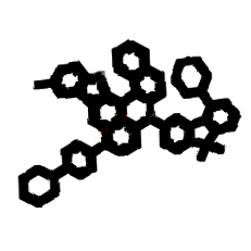 Cc1ccc2sc3c(-c4c(N(c5ccc(-c6ccc(C7CCCCC7)cc6)cc5)c5ccc6c(c5)-c5c(C7CCCCC7)cccc5C6(C)C)ccc5ccccc45)cccc3c2c1